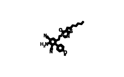 CCCCCc1cc2c(=O)n(CCc3cc(C#N)c(N)c(C#N)c3-c3ccc(OC)cc3)cnc2s1